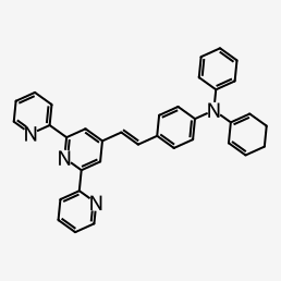 C1=CC(N(c2ccccc2)c2ccc(/C=C/c3cc(-c4ccccn4)nc(-c4ccccn4)c3)cc2)=CCC1